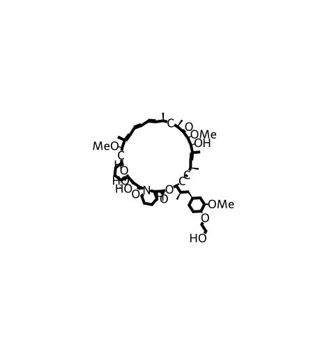 CO[C@H]1C[C@@H]2CC[C@@H](C)[C@@](O)(O2)C(O)C(=O)N2CCCC[C@H]2C(=O)O[C@H]([C@H](C)C[C@@H]2CC[C@@H](OCCO)[C@H](OC)C2)CC[C@H](C)/C=C(\C)[C@@H](O)[C@@H](OC)C(=O)[C@H](C)C[C@H](C)/C=C/C=C/C=C/1C